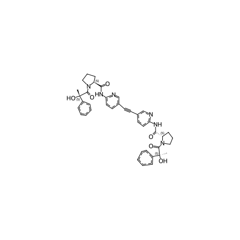 C[C@@](O)(C(=O)N1CCC[C@H]1C(=O)Nc1ccc(C#Cc2ccc(NC(=O)[C@@H]3CCCN3C(=O)[C@@](C)(O)c3ccccc3)nc2)cn1)c1ccccc1